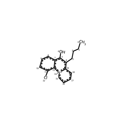 CCCCc1c(O)c2cccc(Cl)c2[n+]2ccccc12